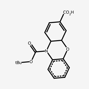 CC(C)(C)OC(=O)N1c2ccccc2OC2C=C(C(=O)O)C=CC21